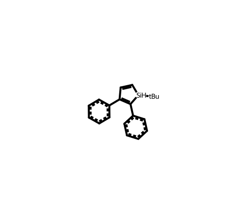 CC(C)(C)[SiH]1C=CC(c2ccccc2)=C1c1ccccc1